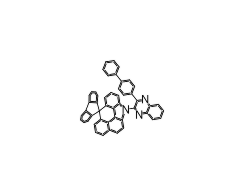 c1ccc(-c2ccc(-c3nc4ccccc4nc3-n3c4cccc5c4c4c6c(cccc6ccc43)C53c4ccccc4-c4ccccc43)cc2)cc1